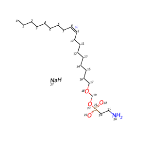 CCCCCCCC/C=C\CCCCCCCCOCOS(=O)(=O)CCN.[NaH]